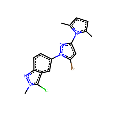 Cc1ccc(C)n1-c1cc(Br)n(-c2ccc3nn(C)c(Cl)c3c2)n1